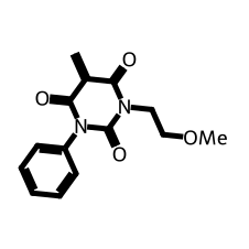 C=C1C(=O)N(CCOC)C(=O)N(c2ccccc2)C1=O